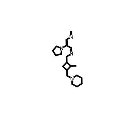 C=N/C=C(\C=N/CC1CC(CN2CCCCC2)C1C)N1CCCC1